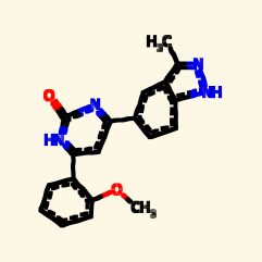 COc1ccccc1-c1cc(-c2ccc3[nH]nc(C)c3c2)nc(=O)[nH]1